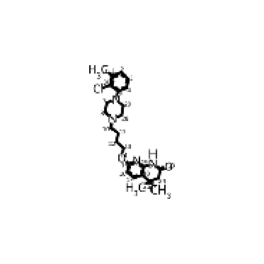 Cc1cccc(N2CCN(CCCCOc3ccc4c(n3)NC(=O)CC4(C)C)CC2)c1Cl